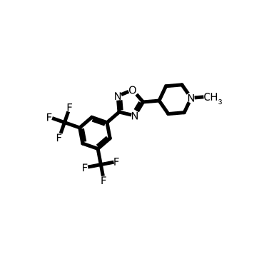 CN1CCC(c2nc(-c3cc(C(F)(F)F)cc(C(F)(F)F)c3)no2)CC1